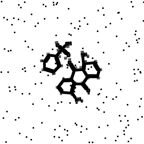 Nc1cccc2c1C(=O)c1cccc(N)c1C2=O.O=S(=O)(O)c1ccccc1